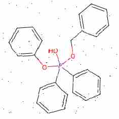 OP(OCc1ccccc1)(Oc1ccccc1)(c1ccccc1)c1ccccc1